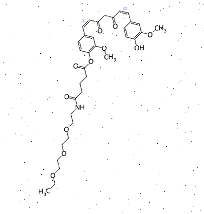 CCOCCOCCOCCNC(=O)CCCC(=O)Oc1ccc(/C=C\C(=O)CC(=O)/C=C\c2ccc(O)c(OC)c2)cc1OC